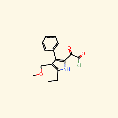 CCc1[nH]c(C(=O)C(=O)Cl)c(-c2ccccc2)c1COC